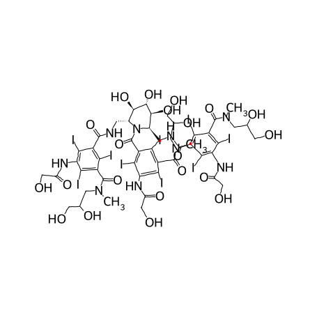 CN(CC(O)CO)C(=O)c1c(I)c(NC(=O)CO)c(I)c(C(=O)NC[C@@H]2[C@H](O)[C@@H](O)[C@H](O)[C@@H](CNC(=O)c3c(I)c(NC(=O)CO)c(I)c(C(=O)N(C)CC(O)CO)c3I)N2C(=O)c2c(I)c(NC(=O)CO)c(I)c(C(=O)N(C)CC(O)CO)c2I)c1I